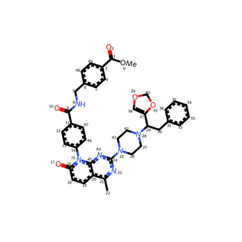 COC(=O)c1ccc(CNC(=O)c2ccc(-n3c(=O)ccc4c(C)nc(N5CCN(C(Cc6ccccc6)C6=COCO6)CC5)nc43)cc2)cc1